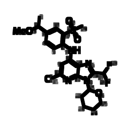 COC(C)c1ccc(Nc2cc(Cl)nc3c2nc(C(F)F)n3C2CCCCO2)c(S(C)(=O)=O)c1